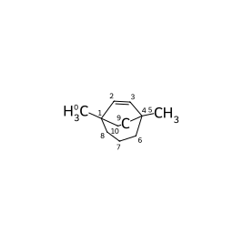 CC12C=CC(C)(CCC1)CC2